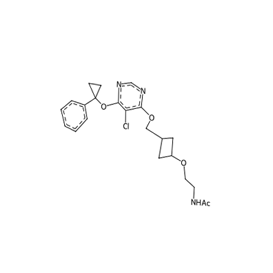 CC(=O)NCCOC1CC(COc2ncnc(OC3(c4ccccc4)CC3)c2Cl)C1